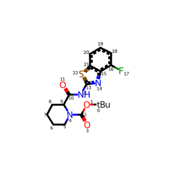 CC(C)(C)OC(=O)N1CCCCC1C(=O)Nc1nc2c(F)cccc2s1